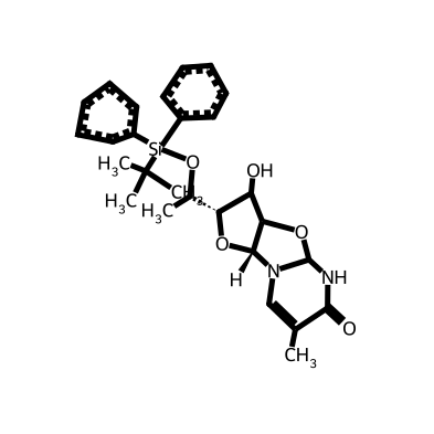 CC1=CN2C(NC1=O)OC1C(O)[C@@H](C(C)O[Si](c3ccccc3)(c3ccccc3)C(C)(C)C)O[C@H]12